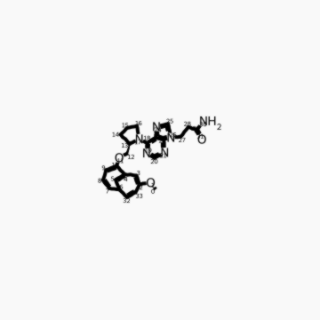 COC1=CC2=CC(C=CC=C2OC[C@H]2CCCN2c2ncnc3c2ncn3CCC(N)=O)C=C1